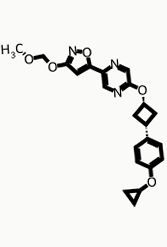 COCOc1cc(-c2cnc(O[C@H]3C[C@@H](c4ccc(OC5CC5)cc4)C3)cn2)on1